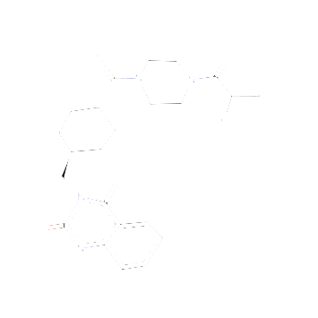 CC(C)C(=O)N1CCN(C(=O)[C@H]2CC[C@H](Cn3c(=O)[nH]c4ccccc4c3=O)CC2)CC1